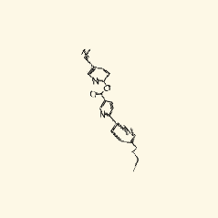 CCCCc1ccc(-c2ccc(C(=O)Oc3ccc(C#N)cn3)cn2)nc1